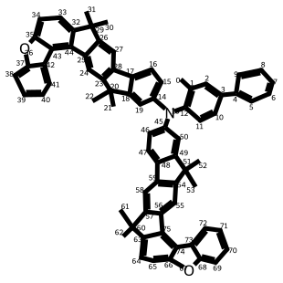 Cc1cc(-c2ccccc2)ccc1N(c1ccc2c(c1)C(C)(C)c1cc3c(cc1-2)C(C)(C)c1ccc2oc4ccccc4c2c1-3)c1ccc2c(c1)C(C)(C)c1cc3c(cc1-2)C(C)(C)c1ccc2oc4ccccc4c2c1-3